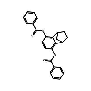 O=C(Oc1ccc(OC(=O)c2ccccc2)c2c1C1CCC2C1)c1ccccc1